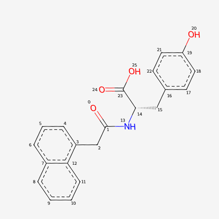 O=C(Cc1cccc2ccccc12)N[C@@H](Cc1ccc(O)cc1)C(=O)O